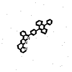 c1ccc(-c2c3ccccc3c(-c3ccc(-c4nc5nc6c(ccc7cccnc76)cc5c5ccccc45)cc3)c3ccccc23)cc1